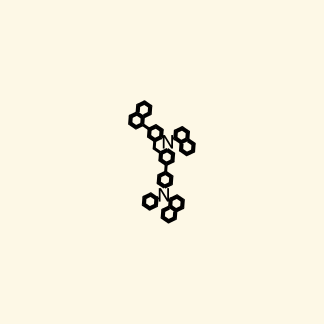 c1ccc(N(c2ccc(-c3ccc4c(c3)Cc3cc(-c5cccc6ccccc56)ccc3N4c3cccc4ccccc34)cc2)c2cccc3ccccc23)cc1